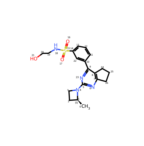 C[C@H]1CCN1c1nc2c(c(-c3cccc(S(=O)(=O)NCCO)c3)n1)CCC2